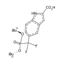 CC[C@H](C)OP(=O)(O[C@@H](C)CC)C(F)(F)c1ccc2[nH]c(C(=O)O)cc2c1